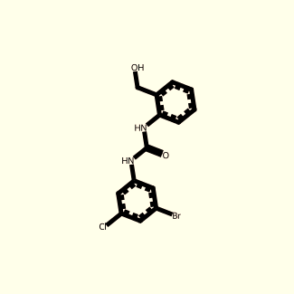 O=C(Nc1cc(Cl)cc(Br)c1)Nc1ccccc1CO